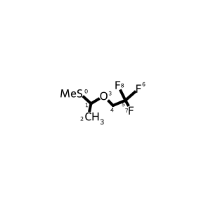 CSC(C)OCC(F)(F)F